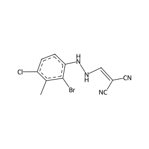 Cc1c(Cl)ccc(NNC=C(C#N)C#N)c1Br